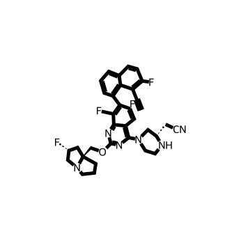 C#Cc1c(F)ccc2cccc(-c3c(F)cc4c(N5CCN[C@@H](CC#N)C5)nc(OC[C@@]56CCCN5C[C@H](F)C6)nc4c3F)c12